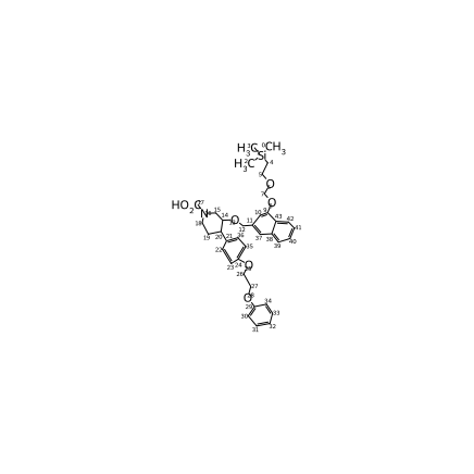 C[Si](C)(C)CCOCOc1cc(COC2CN(C(=O)O)CCC2c2ccc(OCCOc3ccccc3)cc2)cc2ccccc12